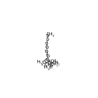 COCCOCCOCCOCCOCCOCCOc1cc(C(C)(C)C)c(OC)cc1C(C)(C)C